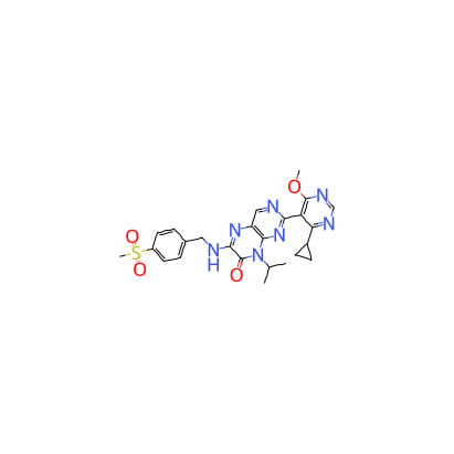 COc1ncnc(C2CC2)c1-c1ncc2nc(NCc3ccc(S(C)(=O)=O)cc3)c(=O)n(C(C)C)c2n1